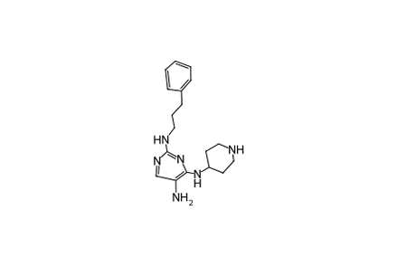 Nc1cnc(NCCCc2ccccc2)nc1NC1CCNCC1